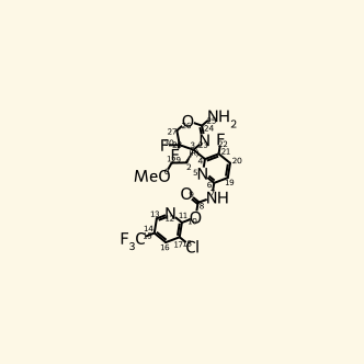 COCC[C@]1(c2nc(NC(=O)Oc3ncc(C(F)(F)F)cc3Cl)ccc2F)N=C(N)OCC1(F)F